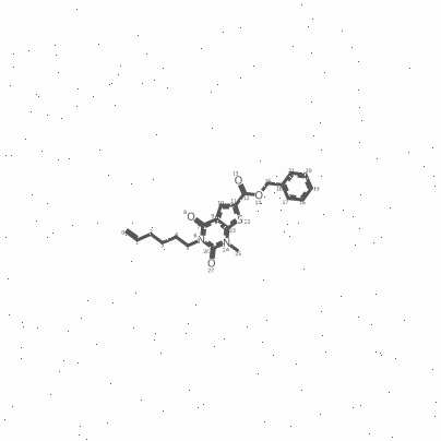 C=CCCCCn1c(=O)c2cc(C(=O)OCc3ccccc3)sc2n(C)c1=O